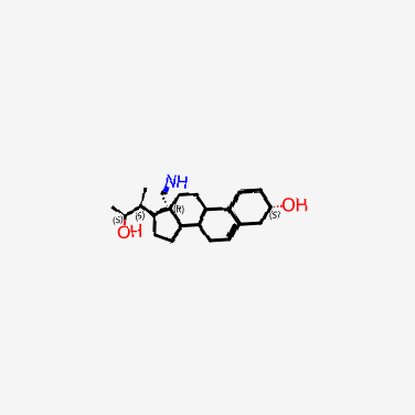 C[C@H](O)[C@@H](C)C1CCC2C3CC=C4C[C@@H](O)CCC4C3CC[C@@]21C=N